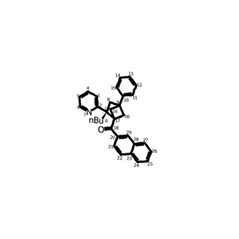 CCCC[C@@]1(c2ccccn2)CC2(c3ccccc3)CC1(C(=O)c1ccc3ccccc3c1)C2